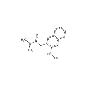 CNc1nc2ccccc2cc1CC(=O)N(C)C